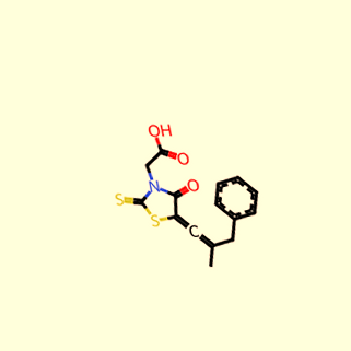 CC(=C=C1SC(=S)N(CC(=O)O)C1=O)Cc1ccccc1